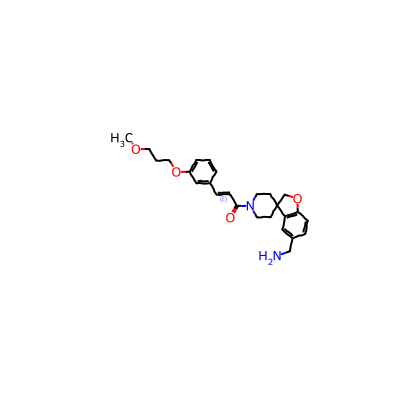 COCCCOc1cccc(/C=C/C(=O)N2CCC3(CC2)COc2ccc(CN)cc23)c1